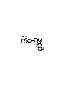 O=C1C(=Cc2ccccn2)COc2ccc(-c3ccc(OC(F)(F)F)cc3)cc21